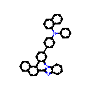 c1ccc(N(c2ccc(-c3ccc4c5c6ccccc6ccc5c5nc6ccccc6n5c4c3)cc2)c2cccc3ccccc23)cc1